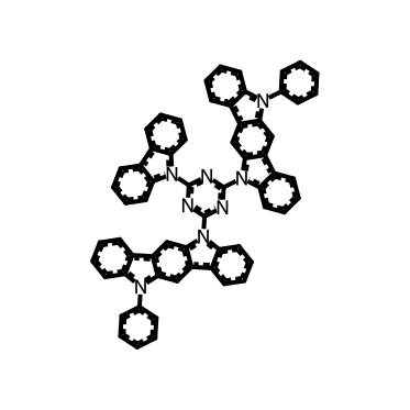 c1ccc(-n2c3ccccc3c3cc4c(cc32)c2ccccc2n4-c2nc(-n3c4ccccc4c4ccccc43)nc(-n3c4ccccc4c4cc5c(cc43)c3ccccc3n5-c3ccccc3)n2)cc1